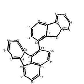 c1ccc2c(c1)Cc1c-2cccc1-c1ccc2cccc3c2c1-c1ccccc1-3